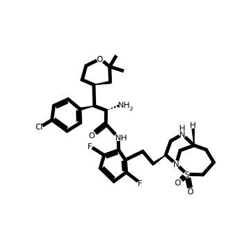 CC1(C)C[C@@H]([C@H](c2ccc(Cl)cc2)[C@H](N)C(=O)Nc2c(F)ccc(F)c2CC[C@H]2CN[C@@H]3CCCS(=O)(=O)N2C3)CCO1